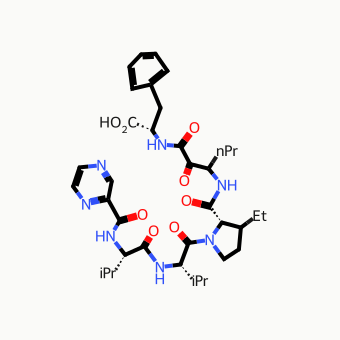 CCCC(NC(=O)[C@@H]1C(CC)CCN1C(=O)[C@@H](NC(=O)[C@@H](NC(=O)c1cnccn1)C(C)C)C(C)C)C(=O)C(=O)N[C@@H](Cc1ccccc1)C(=O)O